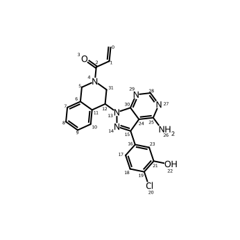 C=CC(=O)N1Cc2ccccc2C(n2nc(-c3ccc(Cl)c(O)c3)c3c(N)ncnc32)C1